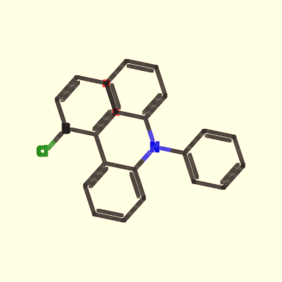 ClB1C=CCC=C1c1ccccc1N(c1ccccc1)c1ccccc1